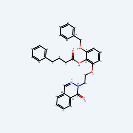 O=C(CCCc1ccccc1)Oc1c(OCCn2ncc3ccccc3c2=O)cccc1OCc1ccccc1